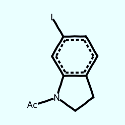 CC(=O)N1CCc2ccc(I)cc21